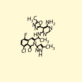 Cc1cc(-n2c(C(C)Nc3ncnc(N)c3-c3nnc(C)o3)cc3c(F)ccc(Cl)c3c2=O)n[nH]1